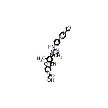 C=C(/N=C(\N=C/C)Nc1ccc(N2CCN(C3COC3)CC2)cc1)c1cc(C)c(OC2CCN(C(=O)CO)CC2F)c(C#N)c1